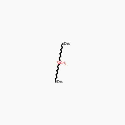 CCCCCCCCCCCCCCCCCCOCCCCCCCCCCCCCCCCCC.O